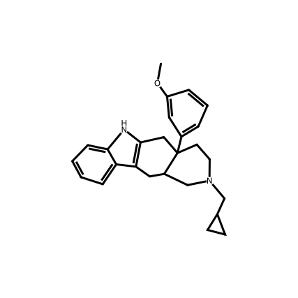 COc1cccc(C23CCN(CC4CC4)CC2Cc2c([nH]c4ccccc24)C3)c1